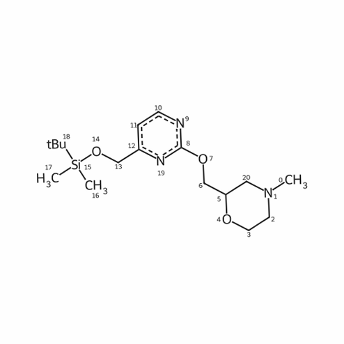 CN1CCOC(COc2nccc(CO[Si](C)(C)C(C)(C)C)n2)C1